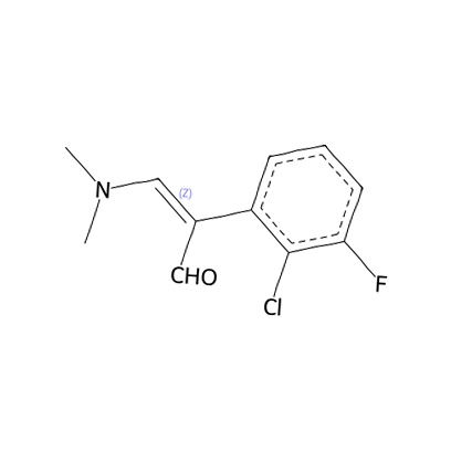 CN(C)/C=C(\C=O)c1cccc(F)c1Cl